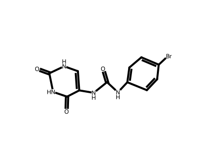 O=C(Nc1ccc(Br)cc1)Nc1c[nH]c(=O)[nH]c1=O